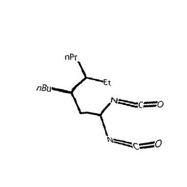 CCCCC(CC(N=C=O)N=C=O)C(CC)CCC